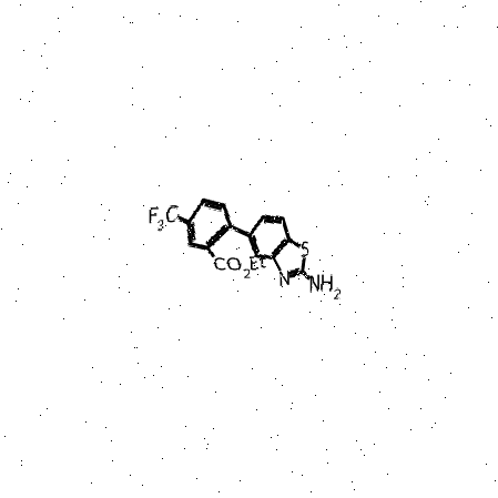 CCOC(=O)c1cc(C(F)(F)F)ccc1-c1[c]c2nc(N)sc2cc1